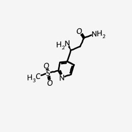 CS(=O)(=O)c1cc([C@@H](N)CC(N)=O)ccn1